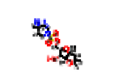 CC1(N)CCN(S(=O)(=O)OC[C@H]2O[C@@H]3CC(C)(C)O[C@@H]3[C@H]2O)CC1